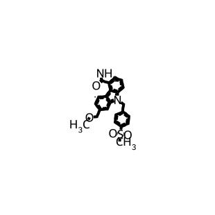 COCc1c[c]c2c3c(C(N)=O)cccc3n(Cc3ccc(S(C)(=O)=O)cc3)c2c1